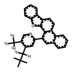 [2H]C([2H])([2H])c1cnc(-c2cc3ccccc3c3ccc4c5ccccc5oc4c23)cc1C([2H])([2H])C(C)(C)C